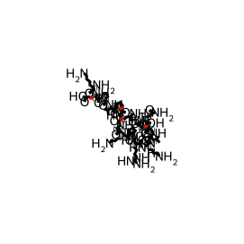 CC(C)[C@H](NC(=O)[C@H](CCCCN)NC(=O)[C@H](CCCNC(=N)N)NC(=O)[C@@H]1CCCN1C(=O)[C@H](CCCCN)NC(=O)[C@H](C)NC(=O)[C@H](CCC(N)=O)NC(=O)[C@@H]1CCCN1C(=O)[C@@H](NC(=O)[C@@H]1CCCN1C(=O)[C@H](CCC(=O)O)NC(=O)[C@@H](N)CCCCN)C(C)C)C(=O)N[C@@H](C)C(=O)N[C@@H](C)C(=O)N[C@H](CCC(N)=O)C(=O)O